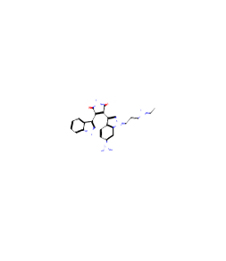 CCNCCCn1cc(C2=C(c3c[nH]c4ccccc34)C(=O)NC2=O)c2ccc(N(C)C)cc21